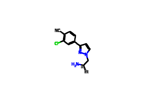 CC[C@@H](N)Cn1ccc(-c2ccc(C#N)c(Cl)c2)n1